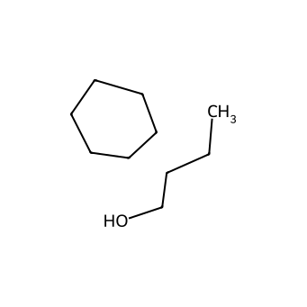 C1CCCCC1.CCCCO